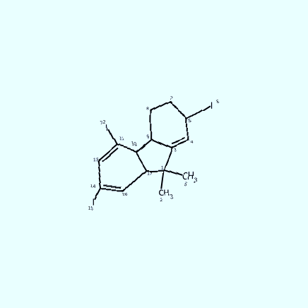 CC1(C)C2=CC(I)CCC2C2C(I)=CC(I)=CC21